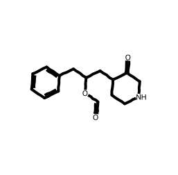 O=COC(Cc1ccccc1)CC1CCNCC1=O